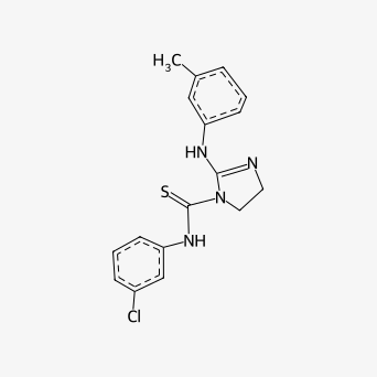 Cc1cccc(NC2=NCCN2C(=S)Nc2cccc(Cl)c2)c1